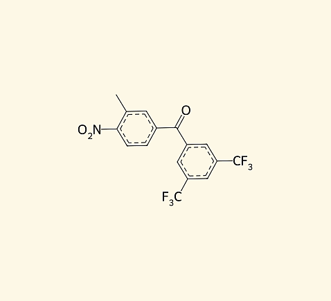 Cc1cc(C(=O)c2cc(C(F)(F)F)cc(C(F)(F)F)c2)ccc1[N+](=O)[O-]